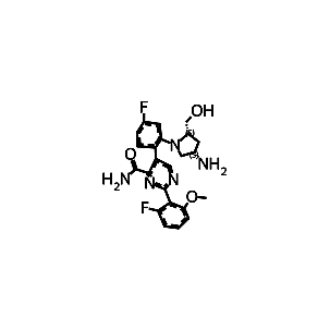 COc1cccc(F)c1-c1ncc(-c2ccc(F)cc2N2C[C@@H](N)C[C@H]2CO)c(C(N)=O)n1